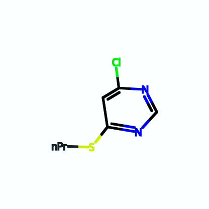 CCCSc1cc(Cl)ncn1